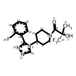 C[C@@](O)(C(=O)N1CCC(n2cnnc2-c2ccccc2F)CC1)C(F)(F)F